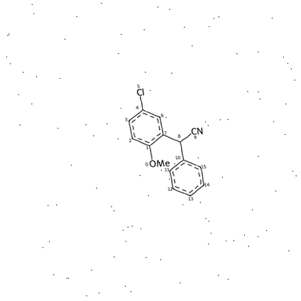 COc1ccc(Cl)cc1C(C#N)c1ccccc1